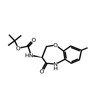 Cc1ccc2c(c1)OC[C@H](NC(=O)OC(C)(C)C)C(=O)N2